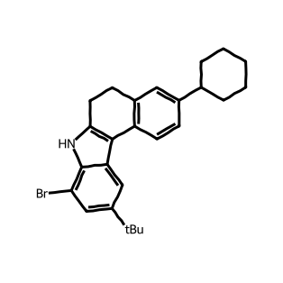 CC(C)(C)c1cc(Br)c2[nH]c3c(c2c1)-c1ccc(C2CCCCC2)cc1CC3